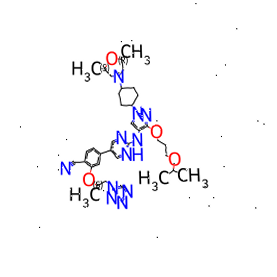 CC(C)OCCCOc1nn(C2CCC(N3C[C@@H](C)O[C@@H](C)C3)CC2)cc1Nc1ncc(-c2ccc(C#N)c(O[C@@H](C)Cn3cnnn3)c2)cn1